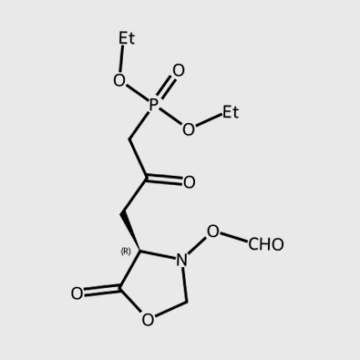 CCOP(=O)(CC(=O)C[C@@H]1C(=O)OCN1OC=O)OCC